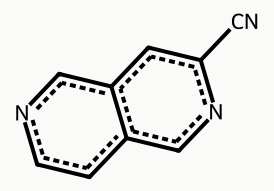 N#Cc1cc2cnccc2cn1